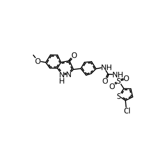 COc1ccc2c(=O)c(-c3ccc(NC(=O)NS(=O)(=O)c4ccc(Cl)s4)cc3)n[nH]c2c1